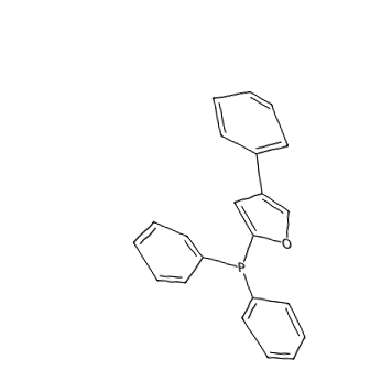 c1ccc(-c2coc(P(c3ccccc3)c3ccccc3)c2)cc1